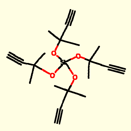 C#CC(C)(C)O[Si](OC(C)(C)C#C)(OC(C)(C)C#C)OC(C)(C)C#C